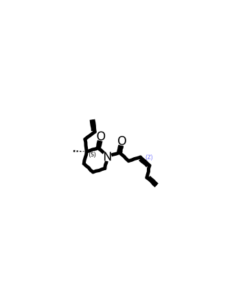 C=C/C=C\CC(=O)N1CCC[C@@](C)(CC=C)C1=O